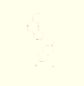 C[C@H]1C[C@@H]2[C@@H](NC(=O)N2c2nc3c4c(ccc3s2)OCO4)[C@@H]1N(C)C